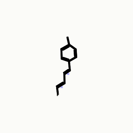 Cc1ccc(/C=C/C=C/F)cc1